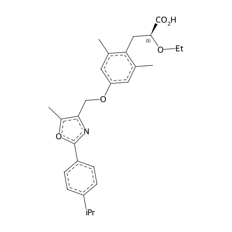 CCO[C@@H](Cc1c(C)cc(OCc2nc(-c3ccc(C(C)C)cc3)oc2C)cc1C)C(=O)O